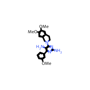 COc1cccc(-c2nc(N)nc(N3CCc4cc(OC)c(OC)cc4C3)c2N)c1